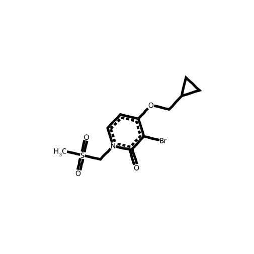 CS(=O)(=O)Cn1ccc(OCC2CC2)c(Br)c1=O